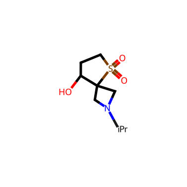 CC(C)N1CC2(C1)C(O)CCS2(=O)=O